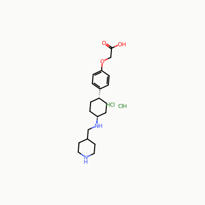 Cl.Cl.O=C(O)COc1ccc([C@H]2CC[C@H](NCC3CCNCC3)CC2)cc1